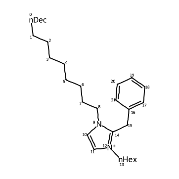 CCCCCCCCCCCCCCCCCCn1cc[n+](CCCCCC)c1Cc1ccccc1